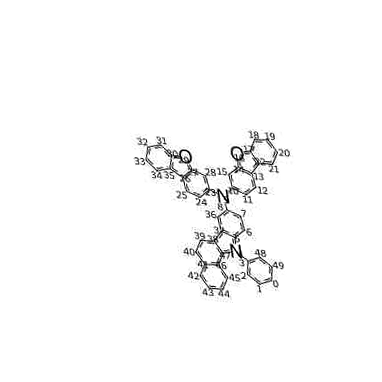 c1ccc(-n2c3ccc(N(c4ccc5c(c4)oc4ccccc45)c4ccc5c(c4)oc4ccccc45)cc3c3ccc4ccccc4c32)cc1